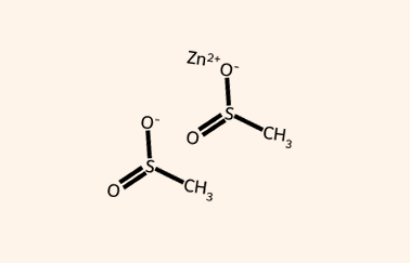 CS(=O)[O-].CS(=O)[O-].[Zn+2]